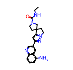 CCNC(=O)N1CCC2(CCn3nc(-c4cnc5cccc(N)c5c4)cc32)C1